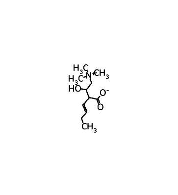 CCC=CC(C(=O)[O-])C(O)C[N+](C)(C)C